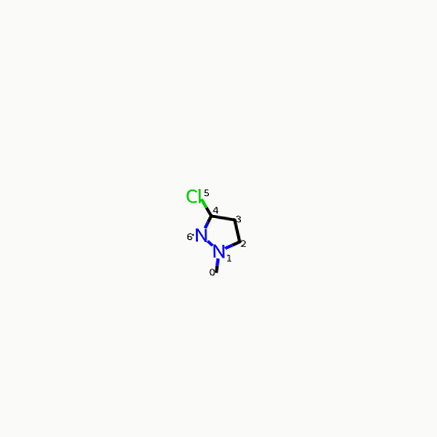 CN1CCC(Cl)[N]1